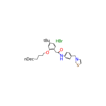 Br.CCCCCCCCCCCCCCOc1cc(C(C)(C)C)ccc1CC(=O)Nc1ccc(CN2C=CSC2)cc1